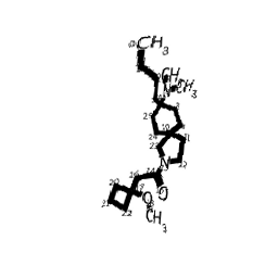 CCCCC1(N(C)C)CCC2(CCN(C(=O)CC3(OC)CCC3)C2)CC1